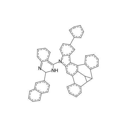 c1ccc(-c2ccc3c(c2)c2c4c5c(cc2n3C2=c3ccccc3=NC(c3ccc6ccccc6c3)N2)-c2ccccc2C2C(c3ccccc3-4)C52)cc1